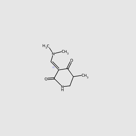 CC1CNC(=O)/C(=C/N(C)C)C1=O